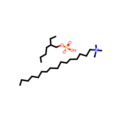 CCCCC(CC)COP(=O)([O-])O.CCCCCCCCCCCCCCCC[N+](C)(C)C